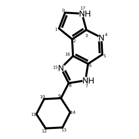 c1cc2c(ncc3[nH]c(C4CCCCC4)nc32)[nH]1